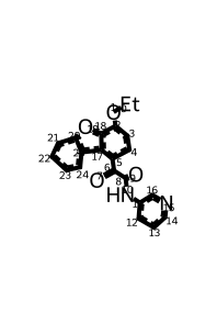 CCOc1ccc(C(=O)C(=O)Nc2cccnc2)c2c1oc1ccccc12